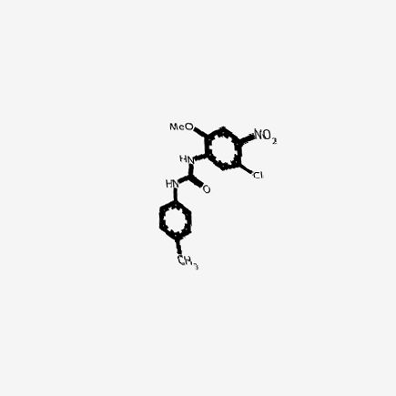 COc1cc([N+](=O)[O-])c(Cl)cc1NC(=O)Nc1ccc(C)cc1